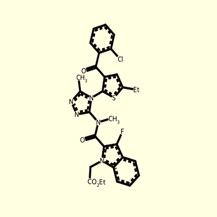 CCOC(=O)Cn1c(C(=O)N(C)c2nnc(C)n2-c2sc(CC)cc2C(=O)c2ccccc2Cl)c(F)c2ccccc21